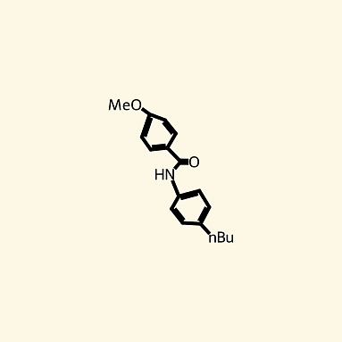 CCCCc1ccc(NC(=O)c2ccc(OC)cc2)cc1